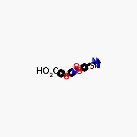 Cn1ccnc1SCc1ccc(OC(=O)N2CCC(Oc3ccc(C(=O)O)cc3)CC2)cc1